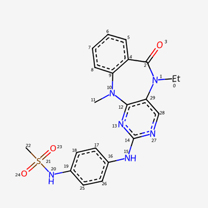 CCN1C(=O)c2ccccc2N(C)c2nc(Nc3ccc(NS(C)(=O)=O)cc3)ncc21